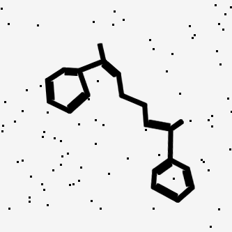 CC(=CCCC=C(C)c1ccccc1)c1ccccc1